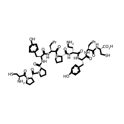 CC(C)C[C@H](NC(=O)[C@H](Cc1ccc(O)cc1)NC(=O)[C@@H](CCN)NC(=O)[C@@H]1CCCN1C(=O)[C@H](CC(C)C)NC(=O)[C@H](Cc1ccc(O)cc1)NC(=O)[C@@H]1CCCN1C(=O)[C@@H]1CCCN1C(=O)[C@@H](N)CS)C(=O)N[C@@H](CS)C(=O)O